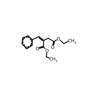 CCOC(=O)CC(=Cc1ccccc1)C(=O)OCC